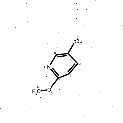 CC(C)(C)c1ccc(OC(F)(F)F)nc1